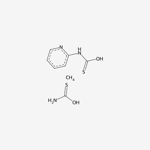 C.NC(O)=S.OC(=S)Nc1ccccn1